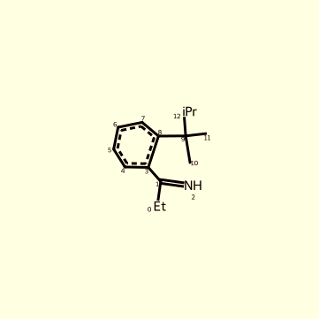 CCC(=N)c1ccccc1C(C)(C)C(C)C